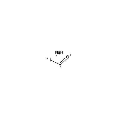 O=CI.[NaH]